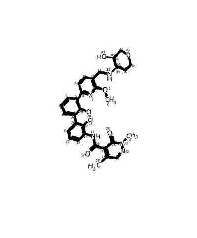 COc1nc(-c2cccc(-c3cccc(NC(=O)c4c(C)cnn(C)c4=O)c3Cl)c2Cl)ccc1CN[C@@H]1CCOC[C@@H]1O